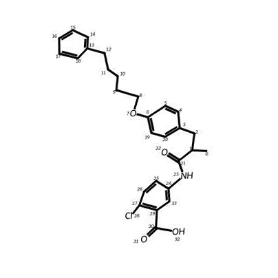 CC(Cc1ccc(OCCCCCc2ccccc2)cc1)C(=O)Nc1ccc(Cl)c(C(=O)O)c1